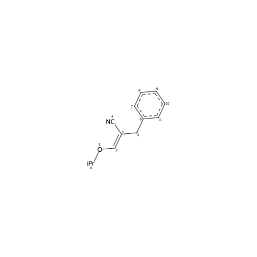 CC(C)O/C=C(\C#N)Cc1ccccc1